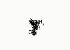 CC(C)C1(n2cc3c(S(N)(=O)=O)cc(NC(=O)CC4(C)CC=CC=C4Cl)cc3n2)CC1